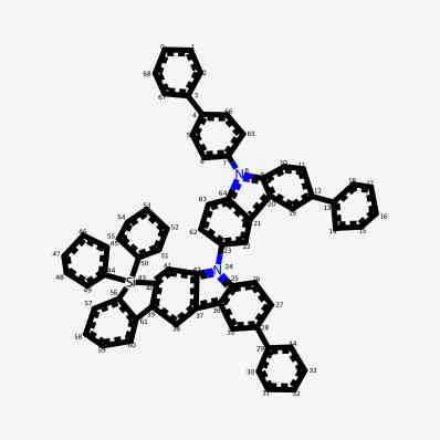 c1ccc(-c2ccc(-n3c4ccc(-c5ccccc5)cc4c4cc(-n5c6ccc(-c7ccccc7)cc6c6cc7c(cc65)[Si](c5ccccc5)(c5ccccc5)c5ccccc5-7)ccc43)cc2)cc1